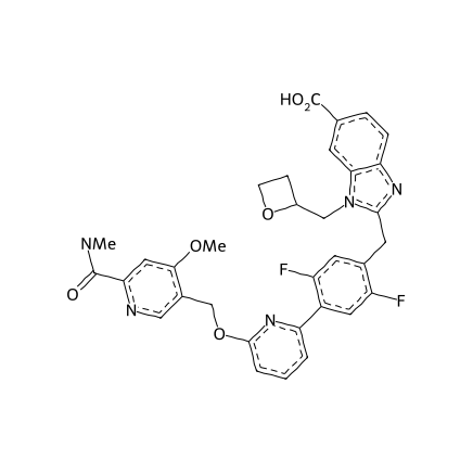 CNC(=O)c1cc(OC)c(COc2cccc(-c3cc(F)c(Cc4nc5ccc(C(=O)O)cc5n4CC4CCO4)cc3F)n2)cn1